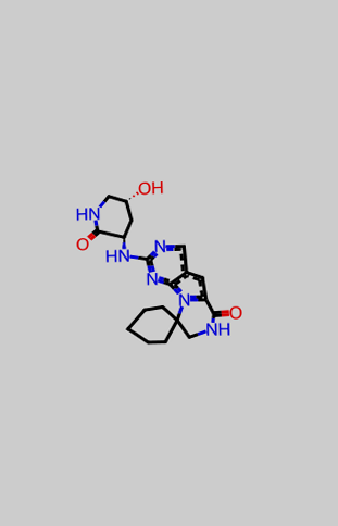 O=C1NCC2(CCCCC2)n2c1cc1cnc(N[C@@H]3C[C@@H](O)CNC3=O)nc12